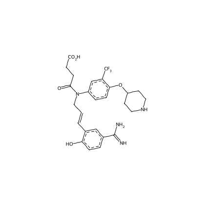 N=C(N)c1ccc(O)c(C=CCN(C(=O)CCC(=O)O)c2ccc(OC3CCNCC3)c(C(F)(F)F)c2)c1